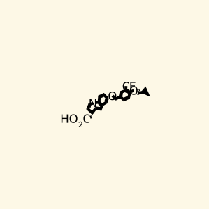 O=C(O)C[C@@H]1CCn2c1cc1cc(OCc3ccc(OCC4CC4)c(C(F)(F)F)c3)ccc12